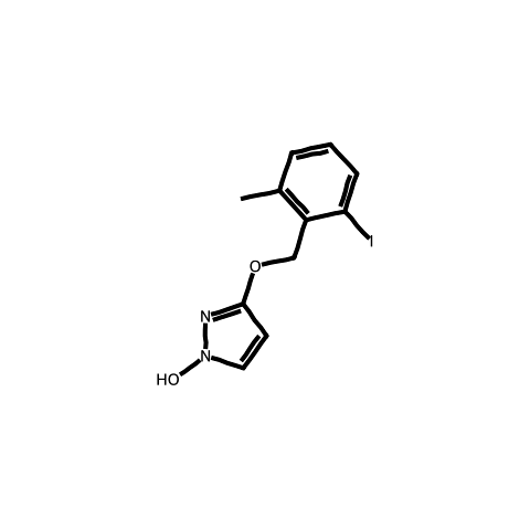 Cc1cccc(I)c1COc1ccn(O)n1